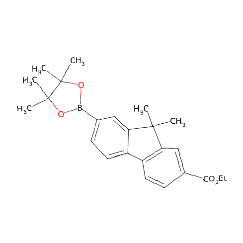 CCOC(=O)c1ccc2c(c1)C(C)(C)c1cc(B3OC(C)(C)C(C)(C)O3)ccc1-2